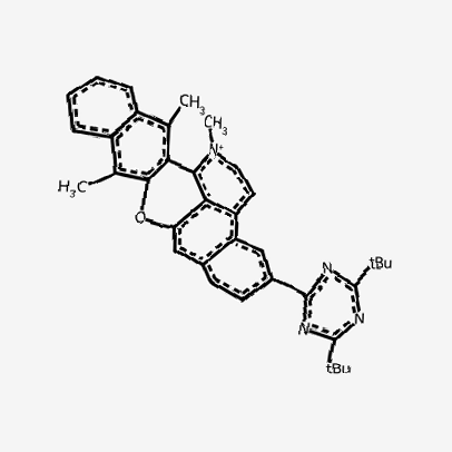 Cc1c2c(c(C)c3ccccc13)-c1c3c(cc4ccc(-c5nc(C(C)(C)C)nc(C(C)(C)C)n5)cc4c3cc[n+]1C)O2